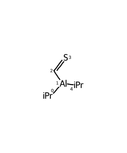 C[CH](C)[Al]([CH]=S)[CH](C)C